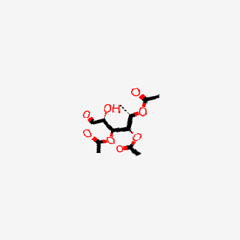 CC(=O)O[C@H]([C@@H](OC(C)=O)[C@@H](O)C=O)[C@H](C)OC(C)=O